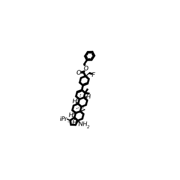 CC(C)[C@@H]1CC[C@]2(N)CC[C@]3(C)[C@H](CC[C@@H]4[C@@]5(C)CC=C(C6=CC[C@@](CF)(C(=O)OCc7ccccc7)CC6)C(C)(C)[C@@H]5CC[C@]43C)[C@@H]12